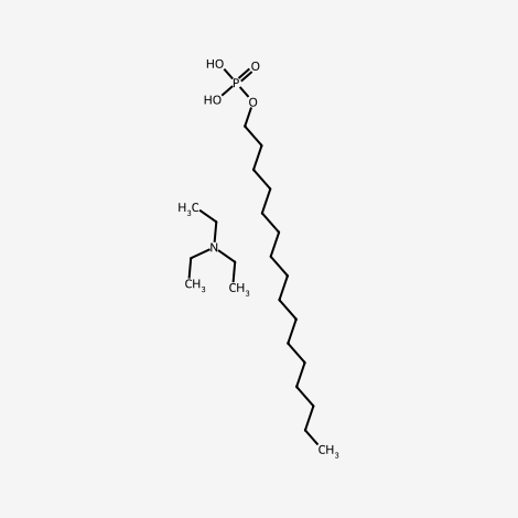 CCCCCCCCCCCCCCCCOP(=O)(O)O.CCN(CC)CC